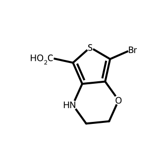 O=C(O)c1sc(Br)c2c1NCCO2